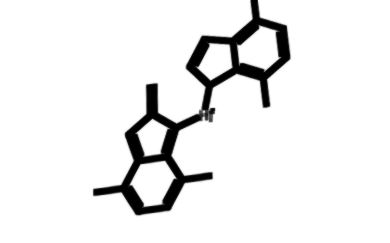 C=C1C=c2c(C)ccc(C)c2=[C]1[Hf][CH]1C=Cc2c(C)ccc(C)c21